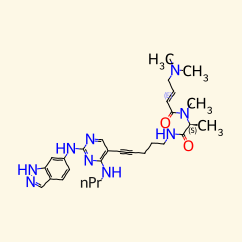 CCCNc1nc(Nc2ccc3cn[nH]c3c2)ncc1C#CCCCNC(=O)[C@H](C)N(C)C(=O)/C=C/CN(C)C